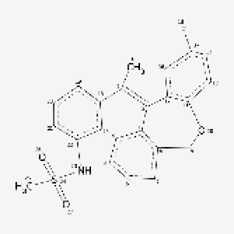 C/C(=C1/c2ccccc2COc2ccc(F)cc21)c1cccc(NS(C)(=O)=O)c1